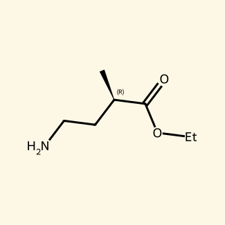 CCOC(=O)[C@H](C)CCN